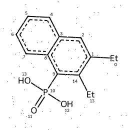 CCc1cc2ccccc2c(P(=O)(O)O)c1CC